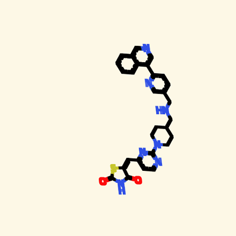 O=C1NC(=O)/C(=C\c2ccnc(N3CCC(CNCc4ccc(-c5cncc6ccccc56)nc4)CC3)n2)S1